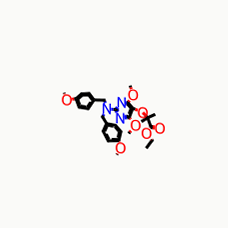 CCOC(=O)C(C)(C)Oc1c(OC)nc(N(Cc2ccc(OC)cc2)Cc2ccc(OC)cc2)nc1OC